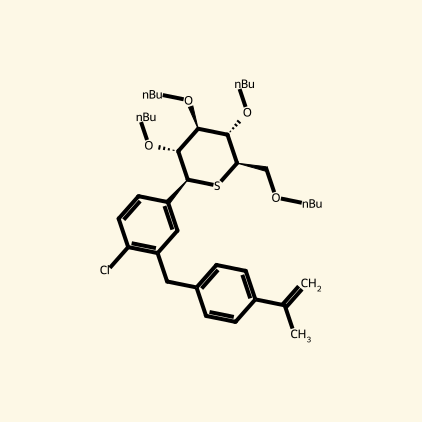 C=C(C)c1ccc(Cc2cc([C@@H]3S[C@H](COCCCC)[C@@H](OCCCC)[C@H](OCCCC)[C@H]3OCCCC)ccc2Cl)cc1